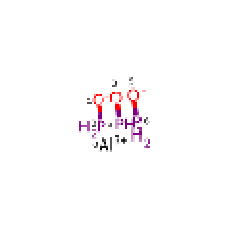 [Al+3].[O-]P.[O-]P.[O-]P